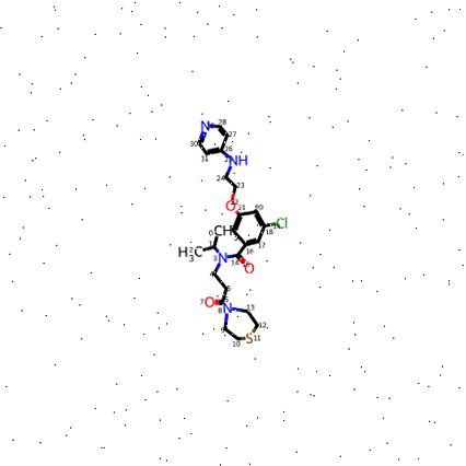 CC(C)N(CCC(=O)N1CCSCC1)C(=O)c1cc(Cl)cc(OCCNc2ccncc2)c1